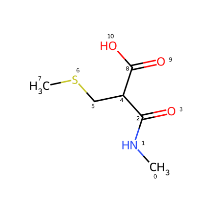 CNC(=O)C(CSC)C(=O)O